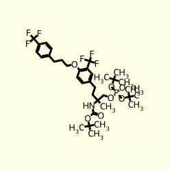 CC(CCc1ccc(OCCCc2ccc(C(F)(F)F)cc2)c(C(F)(F)F)c1)(COP(=O)(OC(C)(C)C)OC(C)(C)C)NC(=O)OC(C)(C)C